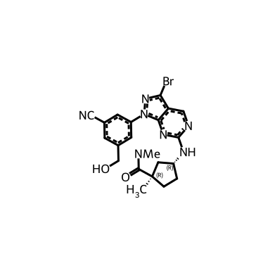 CNC(=O)[C@]1(C)CC[C@@H](Nc2ncc3c(Br)nn(-c4cc(C#N)cc(CO)c4)c3n2)C1